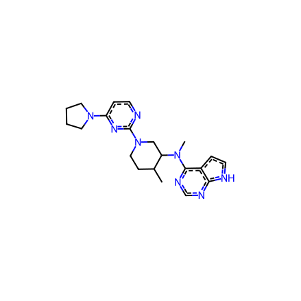 CC1CCN(c2nccc(N3CCCC3)n2)CC1N(C)c1ncnc2[nH]ccc12